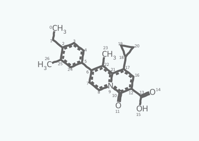 CCc1ccc(-c2ccn3c(=O)c(C(=O)O)cc(C4CC4)c3c2C)cc1C